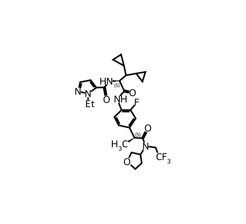 CCn1nccc1C(=O)N[C@H](C(=O)Nc1ccc([C@H](C)C(=O)N(CC(F)(F)F)C2CCOC2)cc1F)C(C1CC1)C1CC1